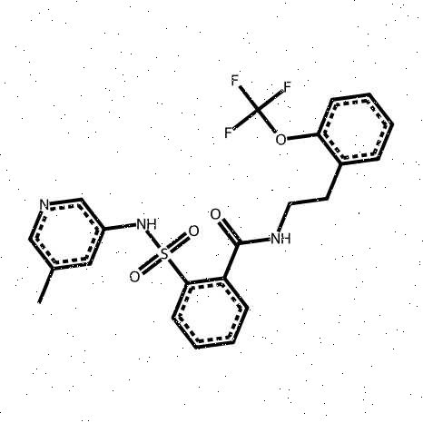 Cc1cncc(NS(=O)(=O)c2ccccc2C(=O)NCCc2ccccc2OC(F)(F)F)c1